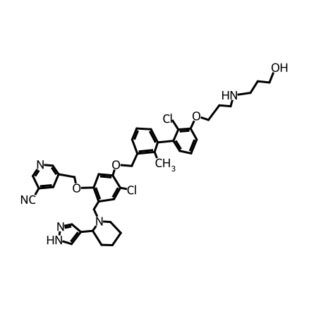 Cc1c(COc2cc(OCc3cncc(C#N)c3)c(CN3CCCCC3c3cn[nH]c3)cc2Cl)cccc1-c1cccc(OCCCNCCCO)c1Cl